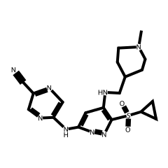 CN1CCC(CNc2cc(Nc3cnc(C#N)cn3)nnc2S(=O)(=O)C2CC2)CC1